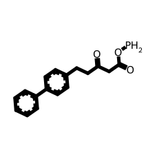 O=C(CCc1ccc(-c2ccccc2)cc1)CC(=O)OP